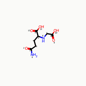 NC(=O)CCC(NCC(=O)O)C(=O)O